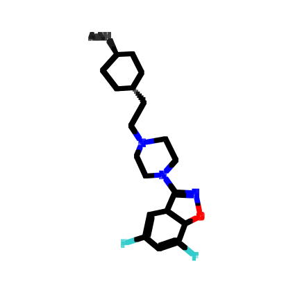 CC(=O)N[C@H]1CC[C@H](CCN2CCN(C3=NOC4C(F)=CC(F)=CC34)CC2)CC1